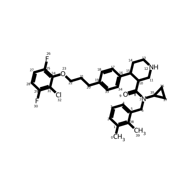 Cc1cccc(CN(C(=O)C2CNCCC2c2ccc(CCCOc3c(F)ccc(F)c3Cl)cc2)C2CC2)c1C